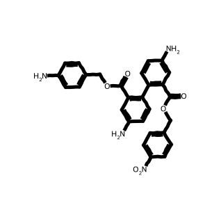 Nc1ccc(COC(=O)c2cc(N)ccc2-c2ccc(N)cc2C(=O)OCc2ccc([N+](=O)[O-])cc2)cc1